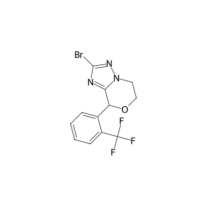 FC(F)(F)c1ccccc1C1OCCn2nc(Br)nc21